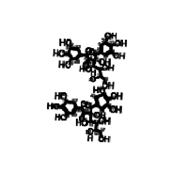 O=C(C(=O)[C@@](O)(C(=O)c1cc(O)c(O)c(O)c1)[C@@H](O)[C@H](O)[C@H](O)CO)c1cc(O)c(O)c(O)c1.O=C(C(=O)[C@@](O)(C(=O)c1cc(O)c(O)c(O)c1)[C@@H](O)[C@H](O)[C@H](O)CO)c1cc(O)c(O)c(O)c1